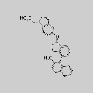 Cc1ccc2ccccc2c1-c1cccc2c1CC[C@H]2Oc1ccc2c(c1)OC[C@H]2CC(=O)O